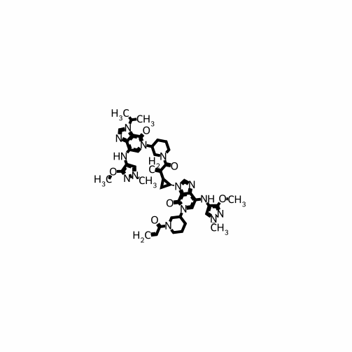 C=CC(=O)N1CCCC(n2cc(Nc3cn(C)nc3OC)c3ncn([C@@H]4CC4C(=C)C(=O)N4CCCC(n5cc(Nc6cn(C)nc6OC)c6ncn(C(C)C)c6c5=O)C4)c3c2=O)C1